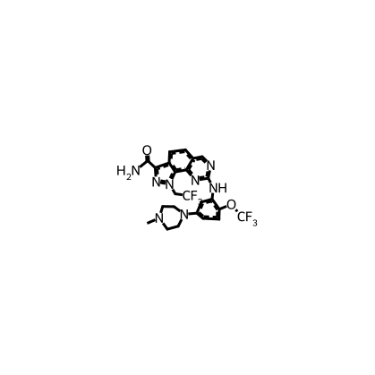 CN1CCN(c2ccc(OC(F)(F)F)c(Nc3ncc4ccc5c(C(N)=O)nn(CC(F)(F)F)c5c4n3)c2)CC1